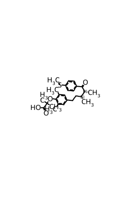 CSc1ccc(C(=O)[C@H](C)[C@@H](C)CCc2cc(C)c(OC(C)(C)C(=O)O)c(C)c2)cc1